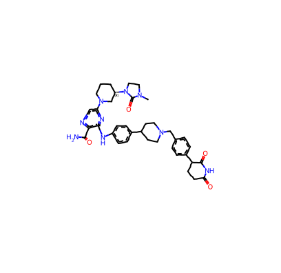 CN1CCN([C@@H]2CCCN(c3cnc(C(N)=O)c(Nc4ccc(C5CCN(Cc6ccc(C7CCC(=O)NC7=O)cc6)CC5)cc4)n3)C2)C1=O